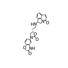 O=C1COc2ccc(N3C[C@H](CCN[C@@H]4Cn5c(=O)ccc6cccc4c65)OC3=O)cc2N1